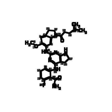 COc1cc2c(cc1Nc1nc3c(c(Nc4cccc(F)c4C(N)=O)n1)CCN3)N(C(=O)CCN(C)C)CC2